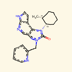 C[C@@H]1CCCC[C@@H]1n1c(=O)n(Cc2ccccn2)c2cnc3[nH]ccc3c21